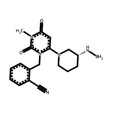 BN[C@@H]1CCCN(c2cc(=O)n(C)c(=O)n2Cc2ccccc2C#N)C1